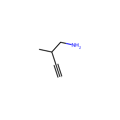 [C]#CC(C)CN